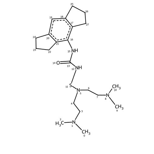 CN(C)CCN(CCN(C)C)SNC(=O)Nc1c2c(cc3c1CCC3)CCC2